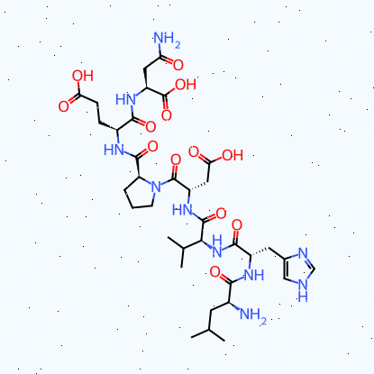 CC(C)C[C@H](N)C(=O)N[C@@H](Cc1c[nH]cn1)C(=O)N[C@H](C(=O)N[C@@H](CC(=O)O)C(=O)N1CCC[C@H]1C(=O)N[C@@H](CCC(=O)O)C(=O)N[C@@H](CC(N)=O)C(=O)O)C(C)C